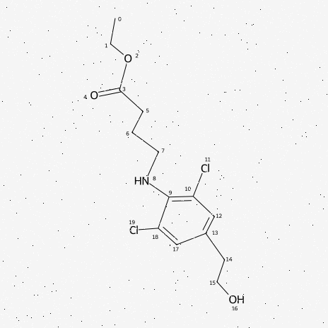 CCOC(=O)CCCNc1c(Cl)cc(CCO)cc1Cl